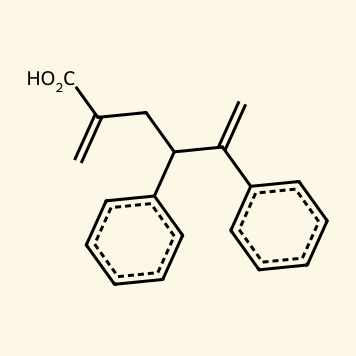 C=C(CC(C(=C)c1ccccc1)c1ccccc1)C(=O)O